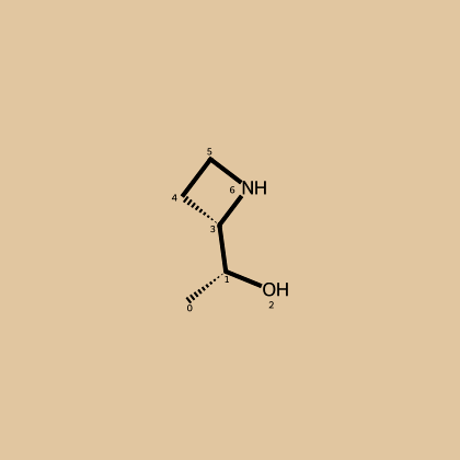 C[C@@H](O)[C@@H]1CCN1